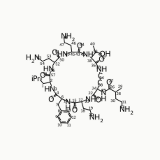 CC(C)CC1NC(=O)C(Cc2ccccc2)NC(=O)C(CCN)NC(=O)C(NC(=O)C(C)CCN)CCNC(=O)C(C(C)O)NC(=O)C(CCN)NC(=O)C(CCN)NC1=O